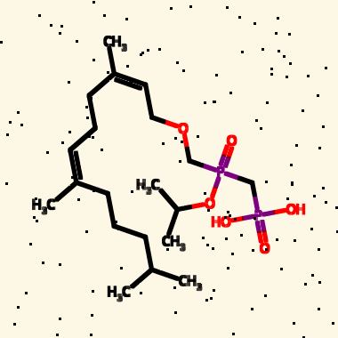 CC(=CCOCP(=O)(CP(=O)(O)O)OC(C)C)CCC=C(C)CCCC(C)C